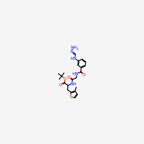 Cc1ccsc1CC(NC(=O)CNC(=O)c1cccc(NC=NN)c1)C(=O)OC(C)(C)C